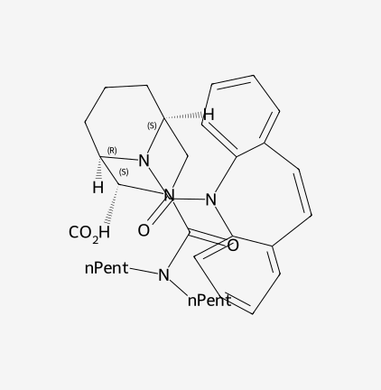 CCCCCN(CCCCC)C(=O)N1C[C@@H]2CCC[C@H]([C@H]1C(=O)O)N2C(=O)N1c2ccccc2C=Cc2ccccc21